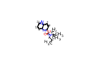 CCCN(C(=O)Oc1ccc2ncccc2n1)C(C)(C)C